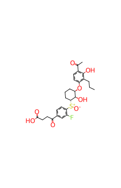 CCCc1c(O[C@@H]2CCC[C@@H]([S+]([O-])c3ccc(C(=O)CCC(=O)O)cc3F)[C@@H]2O)ccc(C(C)=O)c1O